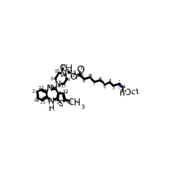 CCCCCCCC/C=C\CCCCCCCC(=O)OC[N+]1(C)CCN(C2=Nc3ccccc3Nc3sc(C)cc32)CC1